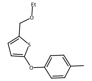 CCOCc1ccc(Oc2ccc(C)cc2)s1